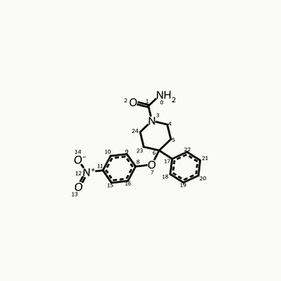 NC(=O)N1CCC(Oc2ccc([N+](=O)[O-])cc2)(c2ccccc2)CC1